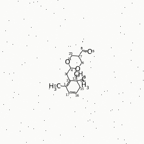 CC1=C(CC2OCC(C=O)CO2)C(C)(C)CC=C1